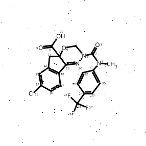 CN(C(=O)N1COC2(C(=O)O)Cc3cc(Cl)ccc3C2=N1)c1ccc(C(F)(F)F)cc1